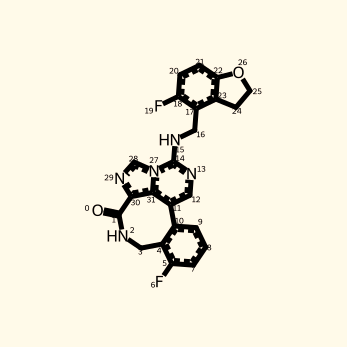 O=C1NCc2c(F)cccc2-c2cnc(NCc3c(F)ccc4c3CCO4)n3cnc1c23